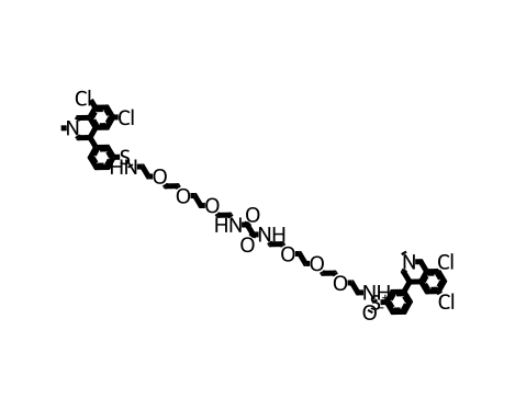 CN1Cc2c(Cl)cc(Cl)cc2C(c2cccc(SNCCOCCOCCOCCNC(=O)C(=O)NCCOCCOCCOCCN[S+]([O-])c3cccc(C4CN(C)Cc5c(Cl)cc(Cl)cc54)c3)c2)C1